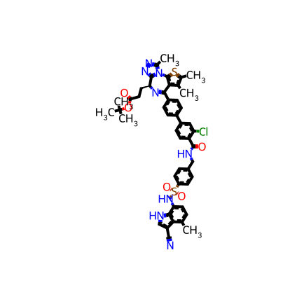 Cc1sc2c(c1C)C(c1ccc(-c3ccc(C(=O)NCc4ccc(S(=O)(=O)Nc5ccc(C)c6c(C#N)c[nH]c56)cc4)c(Cl)c3)cc1)=N[C@@H](CCC(=O)OC(C)(C)C)c1nnc(C)n1-2